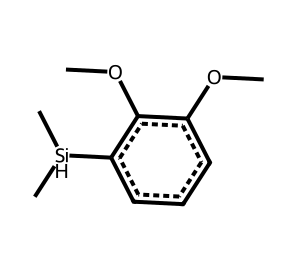 COc1cccc([SiH](C)C)c1OC